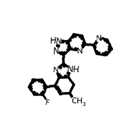 CC1C=C(c2ccccc2F)c2nc(-c3n[nH]c4ccc(-c5ccccn5)nc34)[nH]c2C1